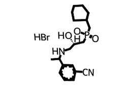 Br.CC(NC[C@H](O)CP(=O)(O)CC1CCCCC1)c1cccc(C#N)c1